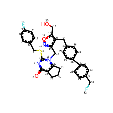 O=c1nc(SCc2ccc(F)cc2)n(Cc2noc(CO)c2Cc2ccc(-c3ccc(CF)cc3)cc2)c2c1CCC2